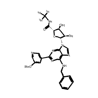 [2H]C([2H])([2H])NC(=O)[C@H]1O[C@@H](n2cnc3c(NCc4ccccc4)nc(-c4cncc(OC)c4)nc32)[C@H](O)[C@@H]1O